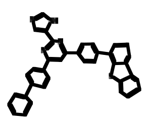 c1ccc(-c2ccc(-c3cc(-c4ccc(-c5cccc6c5sc5ccccc56)cc4)nc(-c4cnc[nH]4)n3)cc2)cc1